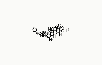 CN(C)c1cc(NC(=O)C2CN(CC3CCCCC3)C2)c(O)c2c1C[C@H]1CC3[C@H](N(C)C)C(O)=C(C(N)=O)C(=O)[C@@]3(O)C(O)=C1C2=O